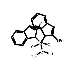 CCCC1=Cc2ccccc2[CH]1[Zr]([Cl])([Cl])([CH]1C(CCC)=Cc2ccccc21)[SiH](C)C